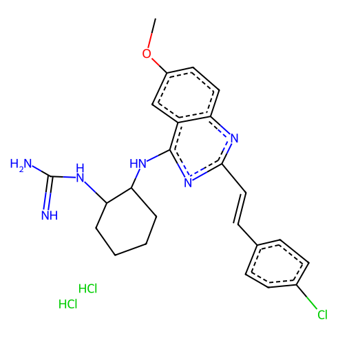 COc1ccc2nc(C=Cc3ccc(Cl)cc3)nc(NC3CCCCC3NC(=N)N)c2c1.Cl.Cl